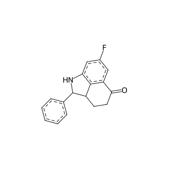 O=C1CCC2c3c(cc(F)cc31)NC2c1ccccc1